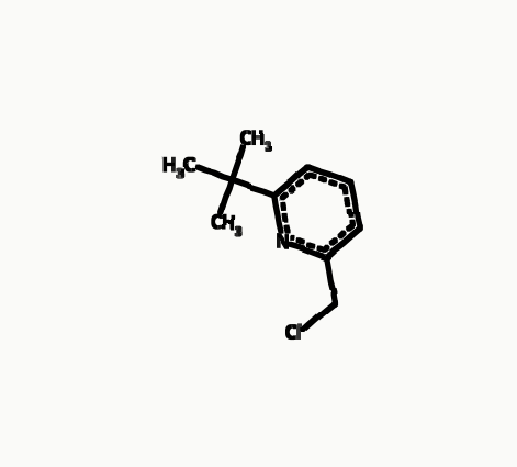 CC(C)(C)c1cccc(CCl)n1